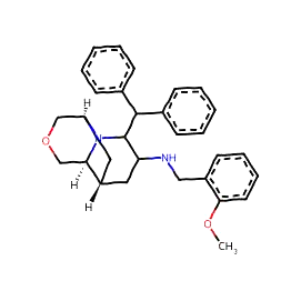 COc1ccccc1CNC1C[C@H]2C[C@H]3COC[C@H]2N3C1C(c1ccccc1)c1ccccc1